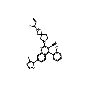 C=CC(=O)N1CC2(CCN(c3nc4cc(-c5scnc5C)ccc4c(-c4ccccc4Cl)c3C#N)C2)C1